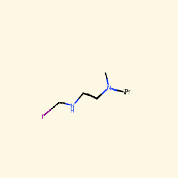 CC(C)N(C)CCNCI